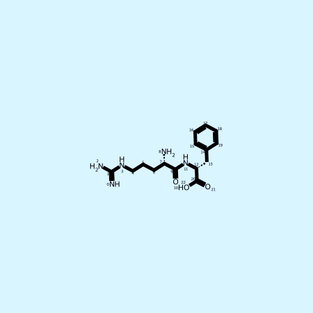 N=C(N)NCCC[C@H](N)C(=O)N[C@H](Cc1ccccc1)C(=O)O